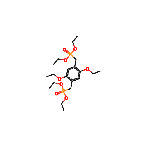 CCOc1cc(CP(=O)(OCC)OCC)c(OCC)cc1CP(=O)(OCC)OCC